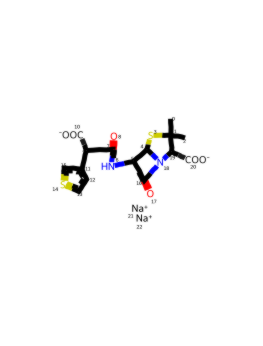 CC1(C)SC2C(NC(=O)C(C(=O)[O-])c3ccsc3)C(=O)N2C1C(=O)[O-].[Na+].[Na+]